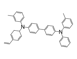 C=CC1=CCC(N(c2ccc(-c3ccc(N(c4ccccc4)c4cccc(C)c4)cc3)cc2)c2cccc(C)c2)C=C1